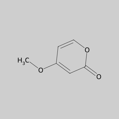 COc1ccoc(=O)c1